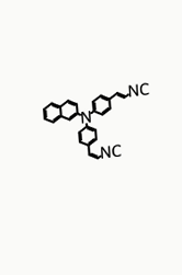 [C-]#[N+]/C=C\c1ccc(N(c2ccc(/C=C/[N+]#[C-])cc2)c2ccc3ccccc3c2)cc1